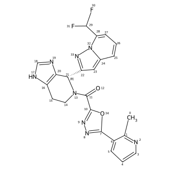 Cc1ncccc1-c1nnc(C(=O)N2CCc3[nH]cnc3[C@@H]2c2cc3cccc(C(F)F)n3n2)o1